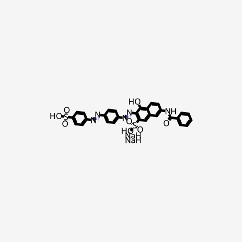 O=C(Nc1ccc2c(O)c(/N=N/c3ccc(/N=N/c4ccc(S(=O)(=O)O)cc4)cc3)c(S(=O)(=O)O)cc2c1)c1ccccc1.[NaH].[NaH]